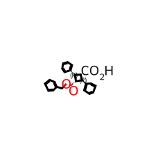 O=C(O)[C@H]1[C@@H](c2ccccc2)[C@H](C(=O)OCc2ccccc2)[C@@H]1c1ccccc1